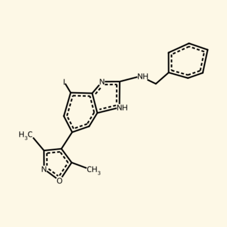 Cc1noc(C)c1-c1cc(I)c2nc(NCc3ccccc3)[nH]c2c1